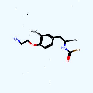 CCCCCCCCC(Cc1ccc(OCCN)c(OC)c1)NC(=O)S